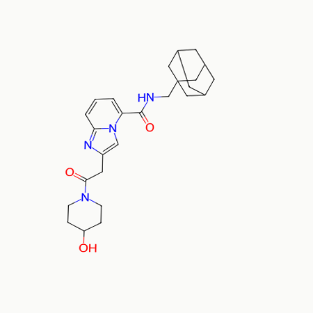 O=C(NCC12CC3CC(CC(C3)C1)C2)c1cccc2nc(CC(=O)N3CCC(O)CC3)cn12